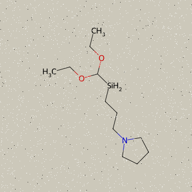 CCOC(OCC)[SiH2]CCCN1CCCC1